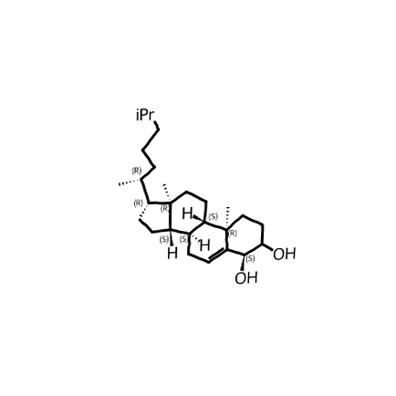 CC(C)CCC[C@@H](C)[C@H]1CC[C@H]2[C@@H]3CC=C4[C@H](O)C(O)CC[C@]4(C)[C@H]3CC[C@]12C